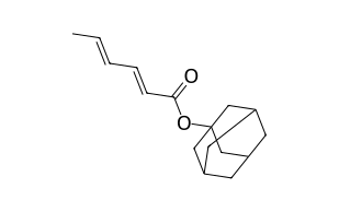 CC=CC=CC(=O)OC12CC3CC(CC(C3)C1)C2